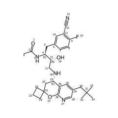 CC(=O)N[C@@H](Cc1ccc(F)c(C#N)c1)[C@H](O)CN[C@H]1CC2(CCC2)Oc2ncc(CC(C)(C)C)cc21